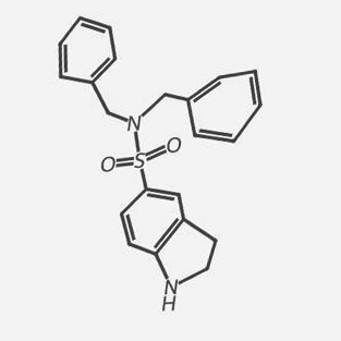 O=S(=O)(c1ccc2c(c1)CCN2)N(Cc1ccccc1)Cc1ccccc1